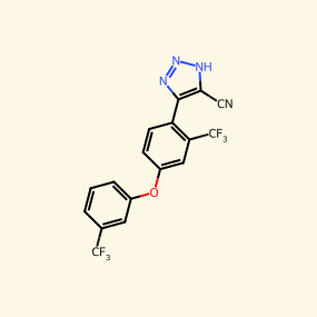 N#Cc1[nH]nnc1-c1ccc(Oc2cccc(C(F)(F)F)c2)cc1C(F)(F)F